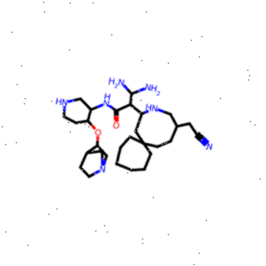 N#CCC1CCC2(CCCCCC2)CC(C(C(=O)NC2CNCCC2OC2CN3CCC2C3)C(N)N)NC1